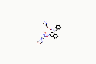 CCS(=O)(=O)N[C@@H](CCN1CCOCC1)C(=O)N[C@H](CC[C@H](Cc1ccccc1)NC(=O)OCc1cncs1)Cc1ccccc1